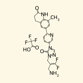 Cc1cc(-c2ccc(-n3cnn(CC(CN)=C(F)F)c3=O)cn2)cc2c1NC(=O)CC2.O=C(O)C(F)(F)F